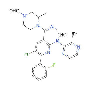 C/N=C(\c1cc(Cl)c(-c2ccccc2F)nc1N(C=O)c1nccnc1C(C)C)N1CCN(C=O)CC1C